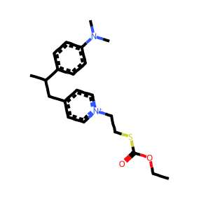 CCOC(=O)SCC[n+]1ccc(CC(C)c2ccc(N(C)C)cc2)cc1